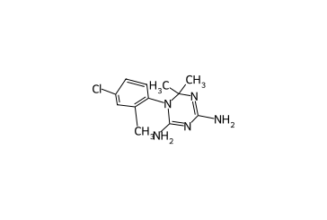 Cc1cc(Cl)ccc1N1C(N)=NC(N)=NC1(C)C